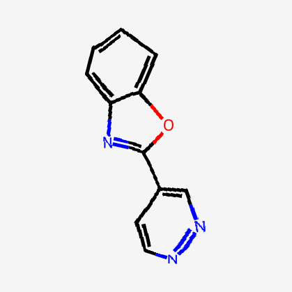 c1ccc2oc(-c3ccnnc3)nc2c1